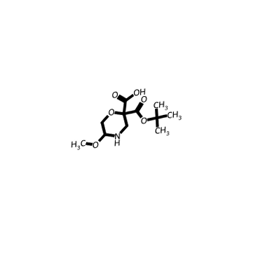 COC1COC(C(=O)O)(C(=O)OC(C)(C)C)CN1